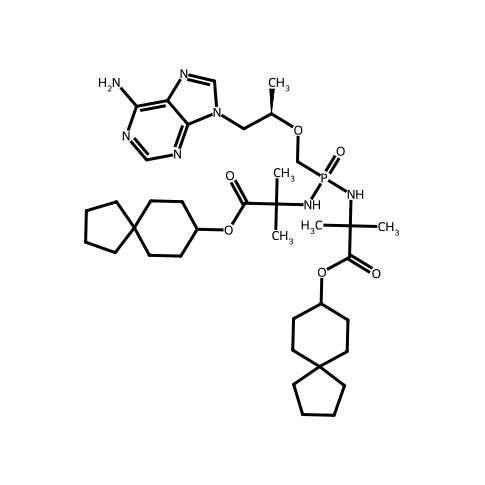 C[C@H](Cn1cnc2c(N)ncnc21)OCP(=O)(NC(C)(C)C(=O)OC1CCC2(CCCC2)CC1)NC(C)(C)C(=O)OC1CCC2(CCCC2)CC1